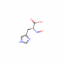 O=N[C@@H](Cc1c[nH]cn1)C(=O)O